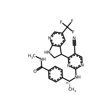 CNC(=O)c1ccc([C@@H](C)Nc2ncc(C#N)c(C3CNc4ncc(C(F)(F)F)cc43)n2)cc1